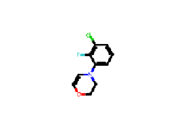 Fc1c(Cl)cccc1N1C=COCC1